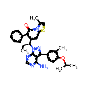 CC[C@@H](c1cc2scc(C)n2c(=O)c1-c1ccccc1)n1nc(-c2ccc(OC(C)C)c(C)c2)c2c(N)ncnc21